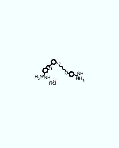 Cl.Cl.N=C(N)c1ccc(OCCCCOc2cccc(-c3cc4ccc(C(=N)N)cc4o3)c2)cc1